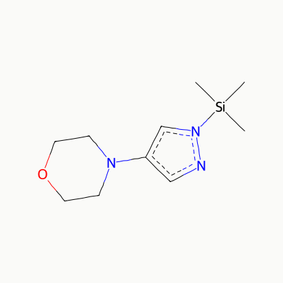 C[Si](C)(C)n1cc(N2CCOCC2)cn1